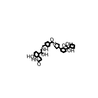 O=C(c1ccc(CNCC(O)c2ccc(O)c3[nH]c(=O)ccc23)cc1)N1CCC(c2cccc(C(O)(C(=O)O)c3ccccc3)c2)CC1